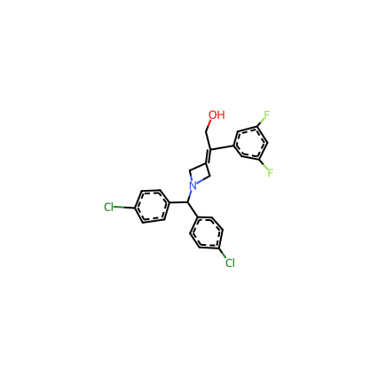 OCC(=C1CN(C(c2ccc(Cl)cc2)c2ccc(Cl)cc2)C1)c1cc(F)cc(F)c1